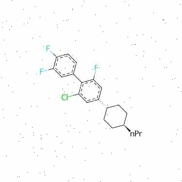 CCC[C@H]1CC[C@H](c2cc(F)c(-c3ccc(F)c(F)c3)c(Cl)c2)CC1